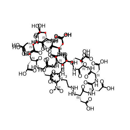 Cc1ncc([N+](=O)[O-])n1CCNN[C@@H](CC(=O)O)C(=O)N[C@@H](CC(=O)O)C(=O)N[C@@H](CC(=O)O)C(=O)N[C@@H](CC(=O)O)C(=O)N[C@@H](CC(=O)O)C(=O)N[C@@H](CC(=O)O)C(=O)N[C@@H](CC(=O)O)C(=O)N[C@@H](CC(=O)O)C(=O)N[C@@H](CC(=O)O)C(=O)N[C@@H](CC(=O)O)C(=O)N[C@@H](CC(=O)O)C(=O)N[C@@H](CC(=O)O)C(=O)N[C@@H](CC(=O)O)C(=O)N[C@@H](CC(=O)O)C(=O)N[C@H](C=O)CC(=O)O